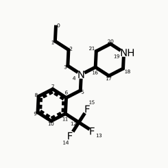 CCCCN(Cc1ccccc1C(F)(F)F)C1CCNCC1